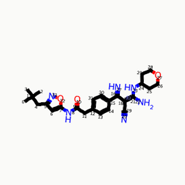 CC(C)(C)Cc1cc(NC(=O)Cc2ccc(C(=N)/C(C#N)=C(/N)NC3CCOCC3)cc2)on1